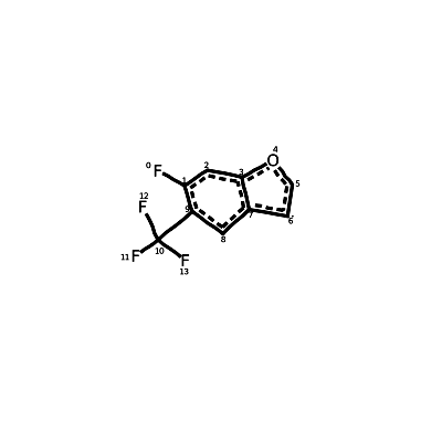 Fc1cc2oc[c]c2cc1C(F)(F)F